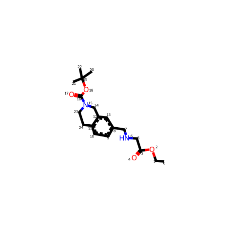 CCOC(=O)CNCc1ccc2c(c1)CN(C(=O)OC(C)(C)C)CC2